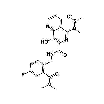 CN(C)C(=O)c1cc(F)ccc1CNC(=O)c1nc(N(C)[S+](C)[O-])c2cccnc2c1O